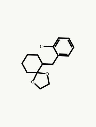 Clc1c[c]ccc1CC1CCCCC12OCCO2